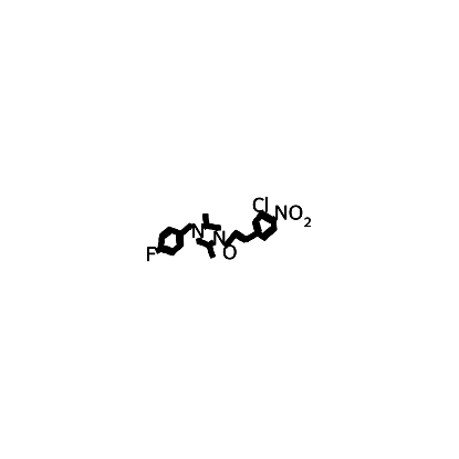 CC1CN(C(=O)C=Cc2ccc([N+](=O)[O-])c(Cl)c2)C(C)CN1Cc1ccc(F)cc1